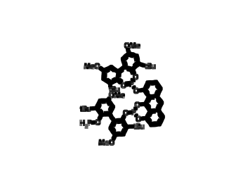 COc1cc(-c2cc(OC)cc(C(C)(C)C)c2OP2Oc3cccc4cc5cccc(Op6oc7c(C(C)(C)C)cc(OC)cc7c7cc(OC)cc(C(C)(C)C)c7o6)c5c(c34)O2)c(OP)c(C(C)(C)C)c1